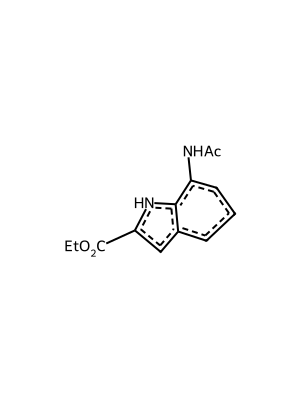 CCOC(=O)c1cc2cccc(NC(C)=O)c2[nH]1